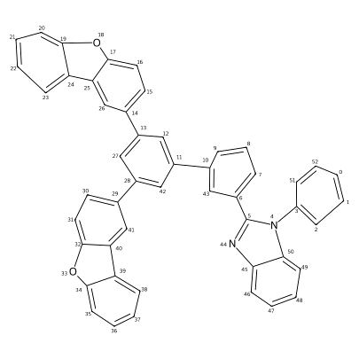 c1ccc(-n2c(-c3cccc(-c4cc(-c5ccc6oc7ccccc7c6c5)cc(-c5ccc6oc7ccccc7c6c5)c4)c3)nc3ccccc32)cc1